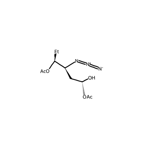 CC[C@H](OC(C)=O)[C@H](C[C@H](O)OC(C)=O)N=[N+]=[N-]